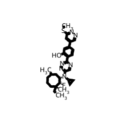 CC[C@]1(C)CCCC(C)C[C@H](N(c2cnc(-c3ccc(-c4cnnc(SC)c4)cc3O)nn2)C2CC2)[C@@H]1F